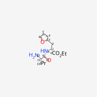 CCOC(=O)C(Cc1ccco1)NC(=O)C(N)C(C)C